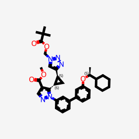 COC(=O)c1cnn(-c2cccc(-c3cccc(O[C@@H](C)C4CCCCC4)c3)c2)c1[C@H]1C[C@@H]1c1cn(COC(=O)C(C)(C)C)nn1